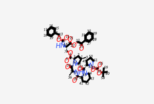 C[C@@H]1C[C@@H](C(=O)OC[C@H](NC(=O)OCc2ccccc2)C(=O)OCC(=O)c2ccccc2)N(C(=O)[C@H](C)NC(=O)[C@@H]2CCCCN2C(=O)[C@@H]2CCCN2OC(=O)OC(C)(C)C)C1